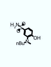 CCCCN(C)c1cc(S(N)(=O)=O)ccc1O